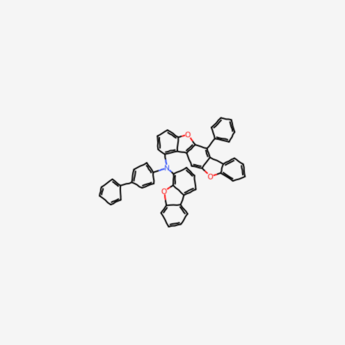 c1ccc(-c2ccc(N(c3cccc4c3oc3ccccc34)c3cccc4oc5c(-c6ccccc6)c6c(cc5c34)oc3ccccc36)cc2)cc1